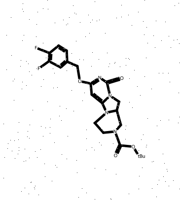 CC(C)(C)OC(=O)N1CCN2c3cc(OCc4ccc(F)c(F)c4)nc(=O)n3CC2C1